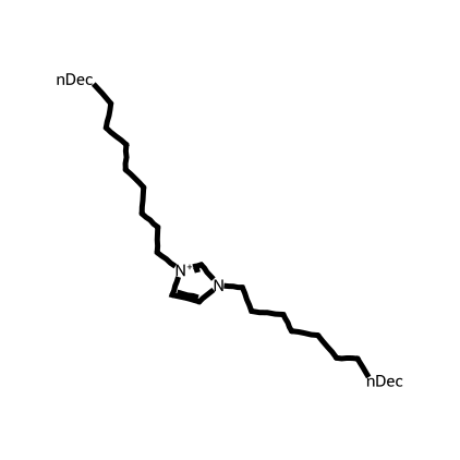 CCCCCCCCCCCCCCCCCC[n+]1ccn(CCCCCCCCCCCCCCCCC)c1